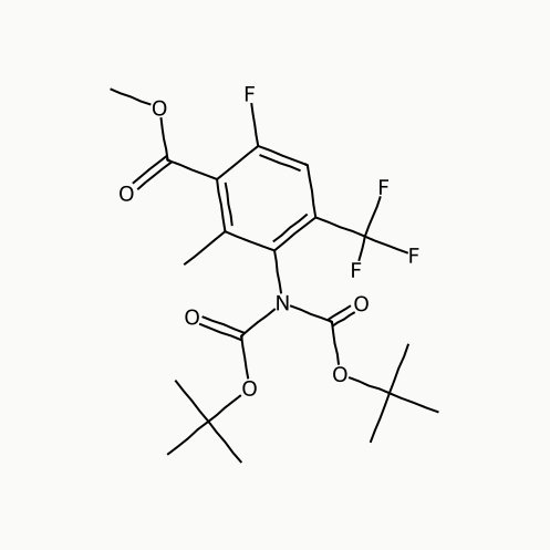 COC(=O)c1c(F)cc(C(F)(F)F)c(N(C(=O)OC(C)(C)C)C(=O)OC(C)(C)C)c1C